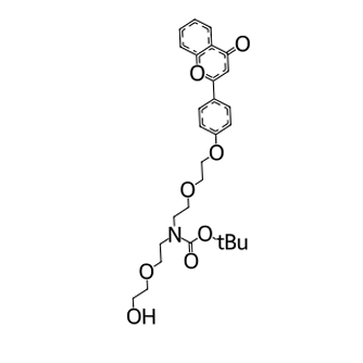 CC(C)(C)OC(=O)N(CCOCCO)CCOCCOc1ccc(-c2cc(=O)c3ccccc3o2)cc1